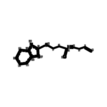 C=CCNC(=O)CCSc1nc2ccccc2s1